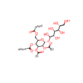 CCCCCC(=O)OC[C@H]1O[C@H](OC(O)[C@@H](O)[C@@H](O)[C@H](O)[C@H](O)CO)[C@@H](OC(=O)CC)[C@@H](OC(=O)CC)[C@@H]1OC(=O)CCCCC